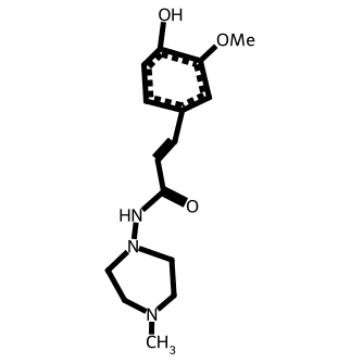 COc1cc(/C=C/C(=O)NN2CCN(C)CC2)ccc1O